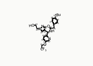 CC(C)(C)c1ccc(CC(=O)N[C@@H](c2ccc(OCC(F)(F)F)cn2)c2cn(CCO)nn2)cc1